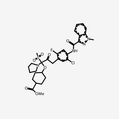 COC(=O)C1CCC(OC(C(=O)Cc2cc(Cl)c(NC(=O)c3nn(C)c4ccccc34)cc2F)(N2CCCC2)S(C)(=O)=O)CC1